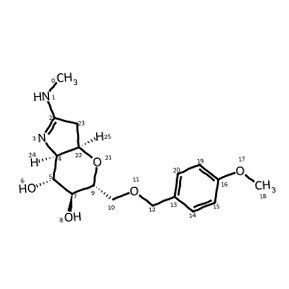 CNC1=N[C@@H]2[C@@H](O)[C@H](O)[C@@H](COCc3ccc(OC)cc3)O[C@@H]2C1